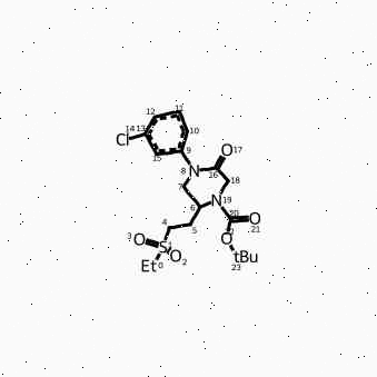 CCS(=O)(=O)CCC1CN(c2cccc(Cl)c2)C(=O)CN1C(=O)OC(C)(C)C